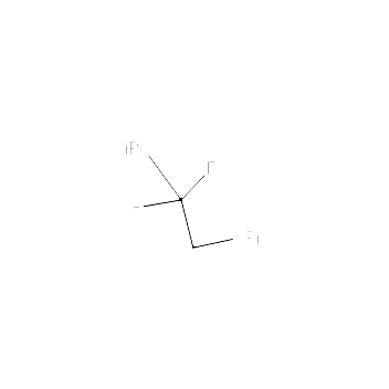 CCCCC(F)(F)C(C)C